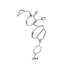 O=c1c(Cl)c(-c2ccc3c(ccn3C3CCC(O)CC3)c2)ccn1CC1CC1